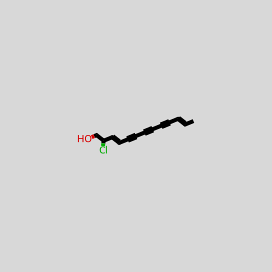 C/C=C/C#CC#CC#C/C=C/C(Cl)CO